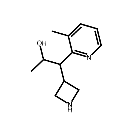 Cc1cccnc1C(C(C)O)C1CNC1